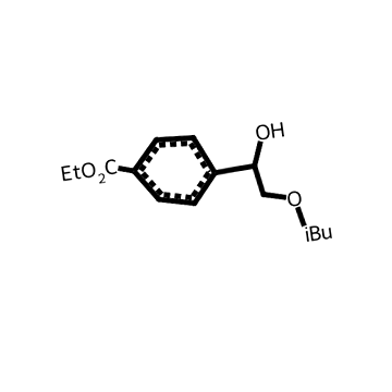 CCOC(=O)c1ccc(C(O)COC(C)CC)cc1